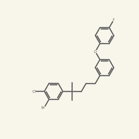 CC(C)(CCCc1cccc(Oc2ccc(F)cc2)c1)c1ccc(Cl)c(Br)c1